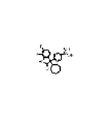 O=C1Nc2c(ccc(F)c2F)C1(c1ccc(B(O)O)cc1)C1CCCCCC1